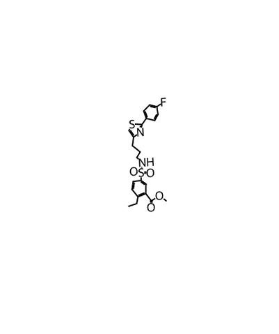 CCc1ccc(S(=O)(=O)NCCCc2csc(-c3ccc(F)cc3)n2)cc1C(=O)OC